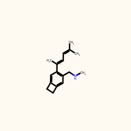 CNCc1cc2c(cc1/C(C)=C/C=C(C)C)CC2